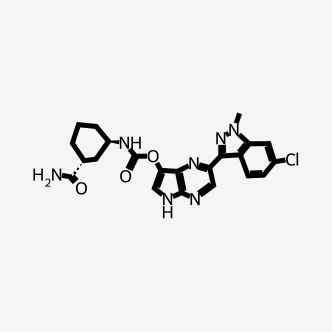 Cn1nc(-c2cnc3[nH]cc(OC(=O)N[C@@H]4CCC[C@@H](C(N)=O)C4)c3n2)c2ccc(Cl)cc21